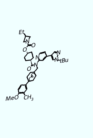 CCC1CN(C(=O)O[C@H]2CC[C@H](C(=O)N(CC34CCC(c5ccc(OC)c(C)c5)(CC3)CC4)c3cc(-c4cnn(C(C)(C)C)c4)ccn3)CC2)C1